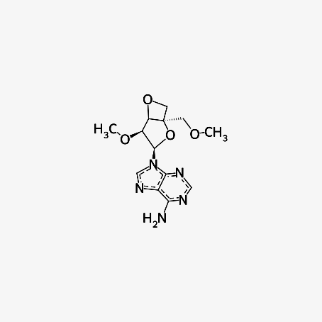 COC[C@@]12COC1[C@H](OC)[C@H](n1cnc3c(N)ncnc31)O2